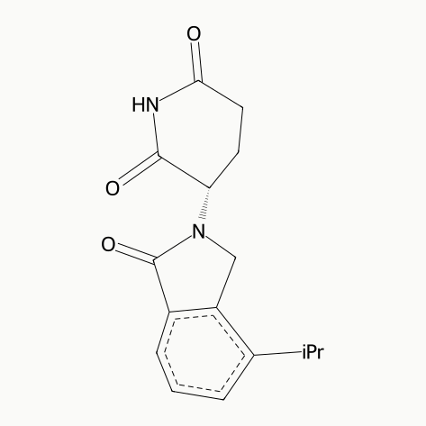 CC(C)c1cccc2c1CN([C@H]1CCC(=O)NC1=O)C2=O